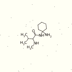 CNC(C(=O)NC1(N)CCCCC1)C(C)C